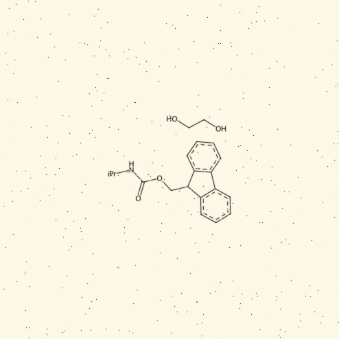 CC(C)NC(=O)OCC1c2ccccc2-c2ccccc21.OCCO